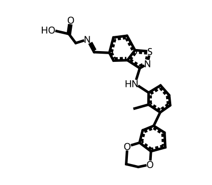 Cc1c(Nc2nsc3ccc(C=NCC(=O)O)cc23)cccc1-c1ccc2c(c1)OCCO2